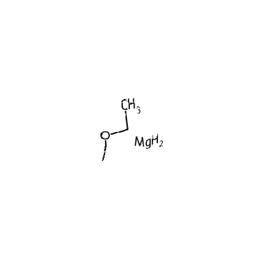 CCOI.[MgH2]